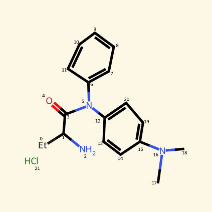 CCC(N)C(=O)N(c1ccccc1)c1ccc(N(C)C)cc1.Cl